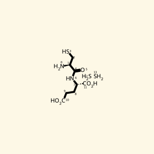 N[C@@H](CS)C(=O)N[C@@H](CCC(=O)O)C(=O)O.S.S